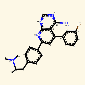 CC(Cc1ccc(-c2cc(-c3cccc(Br)c3)c3c(N)ncnc3n2)cc1)N(C)C